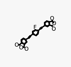 O=C1OC(=O)c2cc(C#Cc3ccc(C#Cc4ccc5c(c4)C(=O)OC5=O)c(F)c3)ccc21